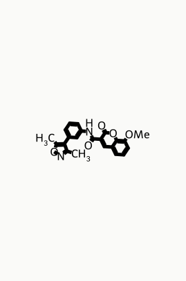 COc1cccc2cc(C(=O)Nc3cccc(-c4c(C)noc4C)c3)c(=O)oc12